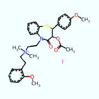 COc1ccc(C2Sc3ccccc3N(CC[N+](C)(C)CCc3ccccc3OC)C(=O)C2OC(C)=O)cc1.[I-]